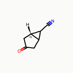 N#CC1C2CC(=O)C[C@H]12